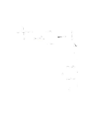 CC(C)(C)OC(=O)N1CCC([C@H]2C[C@H]2COCc2ccc(S(C)(=O)=O)c(F)c2)CC1